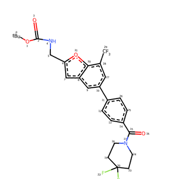 CC(C)(C)OC(=O)NCc1cc2cc(-c3ccc(C(=O)N4CCC(F)(F)CC4)cc3)cc(C(F)(F)F)c2o1